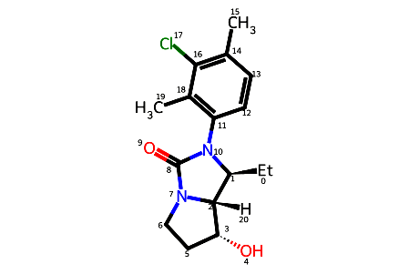 CC[C@H]1[C@@H]2[C@H](O)CCN2C(=O)N1c1ccc(C)c(Cl)c1C